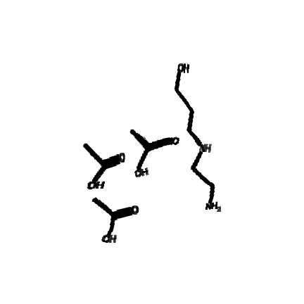 CC(=O)O.CC(=O)O.CC(=O)O.NCCNCCCO